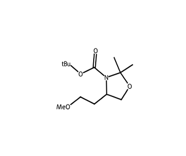 COCCC1COC(C)(C)N1C(=O)OC(C)(C)C